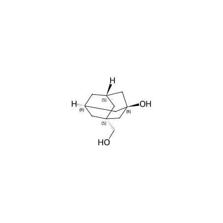 OC[C@]12C[C@@H]3C[C@@H](C[C@](O)(C3)C1)C2